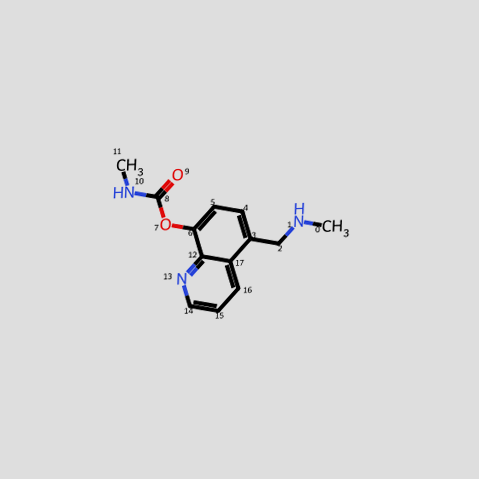 CNCc1ccc(OC(=O)NC)c2ncccc12